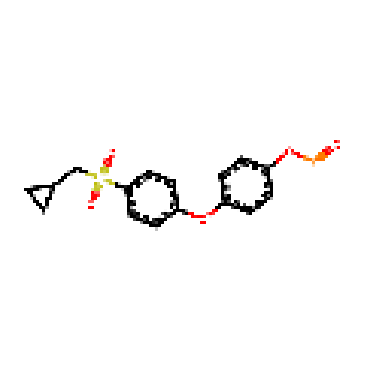 O=POc1ccc(Oc2ccc(S(=O)(=O)CC3CC3)cc2)cc1